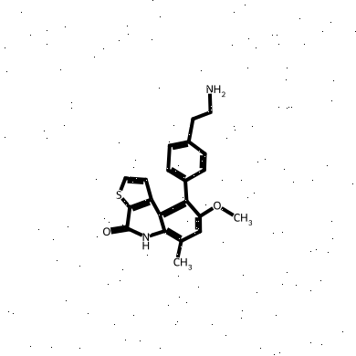 COc1cc(C)c2[nH]c(=O)c3sccc3c2c1-c1ccc(CCN)cc1